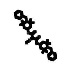 CC1(C)CC(OC(=O)C(=[N+]=[N-])C(=O)OC2CC(C)(C)N(Cc3ccccc3)C(C)(C)C2)CC(C)(C)N1Cc1ccccc1